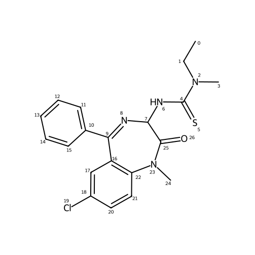 CCN(C)C(=S)NC1N=C(c2ccccc2)c2cc(Cl)ccc2N(C)C1=O